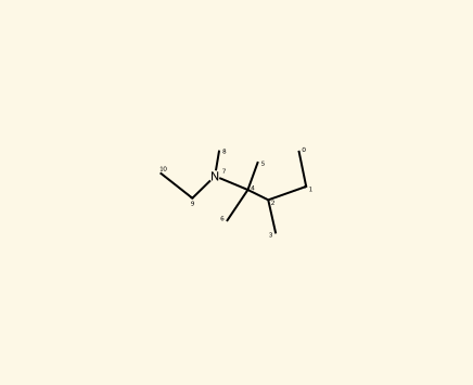 CCC(C)C(C)(C)N(C)CC